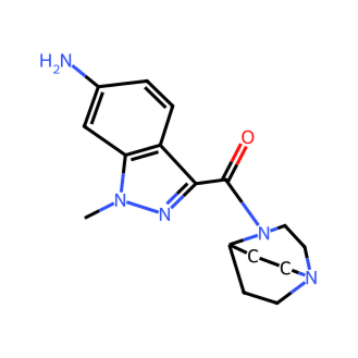 Cn1nc(C(=O)N2CCN3CCC2CC3)c2ccc(N)cc21